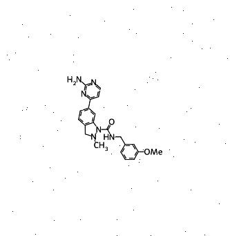 COc1cccc(CNC(=O)N2c3cc(-c4ccnc(N)n4)ccc3CN2C)c1